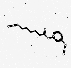 O=C=NCCCCCC(=O)Oc1cccc(N=C=O)c1